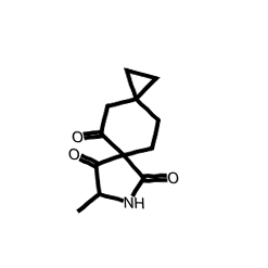 CC1NC(=O)C2(CCC3(CC3)CC2=O)C1=O